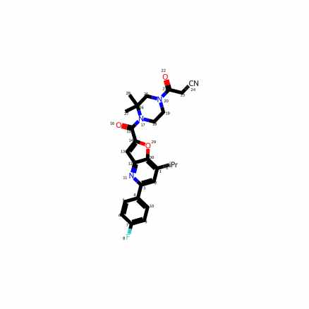 CC(C)c1cc(-c2ccc(F)cc2)nc2cc(C(=O)N3CCN(C(=O)CC#N)CC3(C)C)oc12